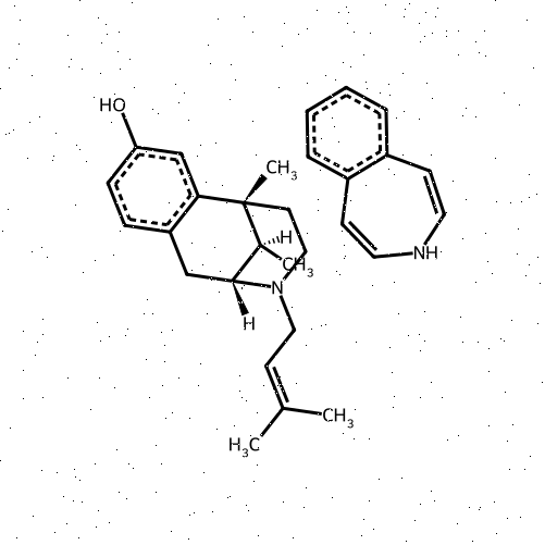 C1=Cc2ccccc2C=CN1.CC(C)=CCN1CC[C@@]2(C)c3cc(O)ccc3C[C@@H]1[C@@H]2C